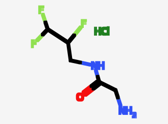 Cl.NCC(=O)NCC(F)C(F)F